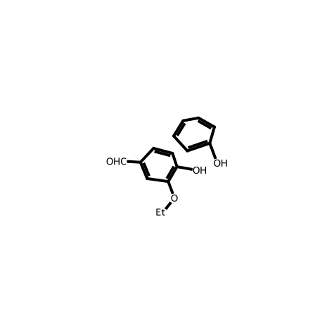 CCOc1cc(C=O)ccc1O.Oc1ccccc1